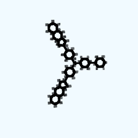 c1ccc(-c2ccc(N(c3ccc(-c4cc5cc6ccccc6cc5s4)cc3)c3ccc(-c4cc5cc6ccccc6cc5s4)cc3)cc2)cc1